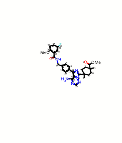 COC(=O)C1(C)CCC(C)(c2nc(-c3ccc(CNC(=O)c4cc(F)ccc4OC)cc3)c3c(N)ncnn23)CC1